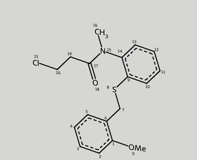 COc1ccccc1CSc1ccccc1N(C)C(=O)CCCl